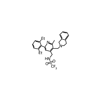 CCc1cccc(CC)c1-c1cc(CNS(=O)(=O)C(F)(F)F)c(CN2CCc3ccccc3C2)c(C)n1